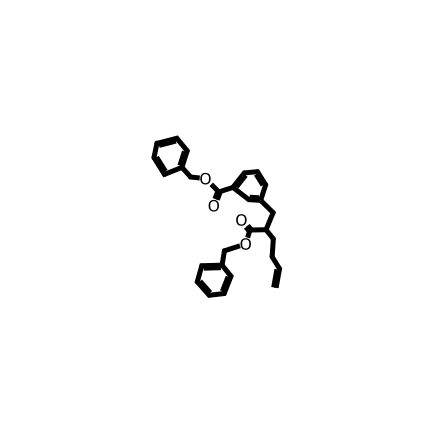 C=CCCC(Cc1cccc(C(=O)OCc2ccccc2)c1)C(=O)OCc1ccccc1